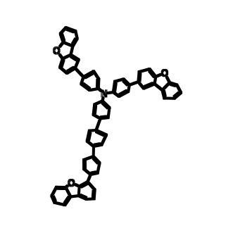 c1ccc2c(c1)oc1ccc(-c3ccc(N(c4ccc(-c5ccc(-c6ccc(-c7cccc8c7oc7ccccc78)cc6)cc5)cc4)c4ccc(-c5ccc6oc7ccccc7c6c5)cc4)cc3)cc12